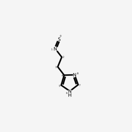 S=NCCc1c[nH]cn1